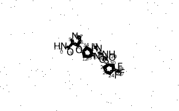 CNC(=O)c1cnccc1Oc1ccc2nc(NS(=O)(=O)c3cccc(C(F)(F)F)c3)nnc2c1